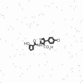 O=C(Nc1scc(-c2ccc(Cl)cc2)c1C(=O)O)C1=CCC=C1O